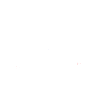 OCCCN1CCCC(C2CC2CO)C1